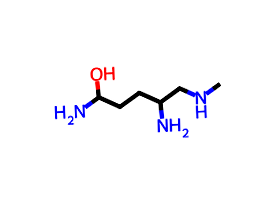 CNCC(N)CCC(N)O